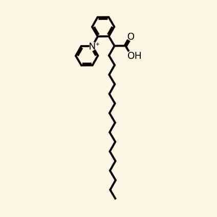 CCCCCCCCCCCCCCCCC(C(=O)O)c1ccccc1-[n+]1ccccc1